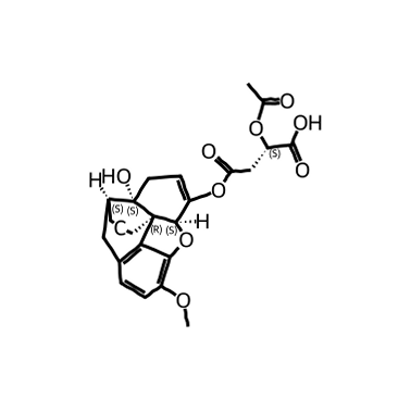 COc1ccc2c3c1O[C@@H]1C(OC(=O)C[C@H](OC(C)=O)C(=O)O)=CC[C@]4(O)[C@@H](CCC[C@@]314)C2